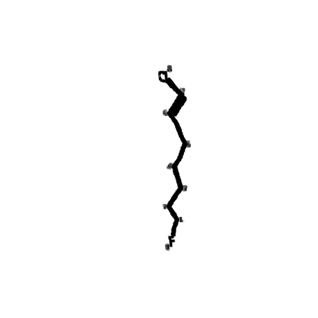 FCCCCCC=CCl